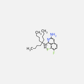 CCCC[C](CCCC)(CCCC)[SnH2][c]1nc(N)cc2ccc(F)c(F)c12